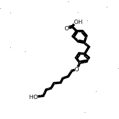 O=C(O)c1ccc(Cc2ccc(OCCCCCCCCO)cc2)cc1